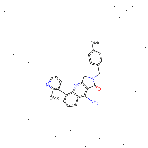 COc1ccc(CN2Cc3nc4c(-c5cccnc5OC)cccc4c(N)c3C2=O)cc1